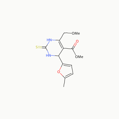 COCC1=C(C(=O)OC)C(c2ccc(C)o2)NC(=S)N1